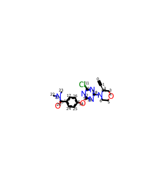 C#C[C@H]1COCCN1c1nc(Cl)nc(Oc2ccc(C(=O)N(C)C)cc2)n1